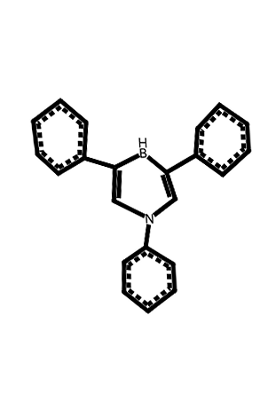 B1C(c2ccccc2)=CN(c2ccccc2)C=C1c1ccccc1